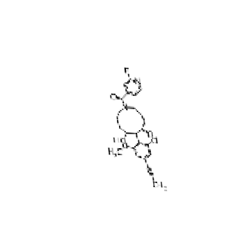 CC#Cc1cc(Cl)c(C2C(=O)CCCN(C(=O)c3ccnc(F)c3)CCCC2O)c(OC)c1